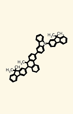 CC1c2ccc(-c3ccc4c(c3)c3ccccc3n4-c3ccc4c(c3)C(C)(C)c3ccccc3-4)cc2C2=C(CCC=C2)C1c1ccc2c(c1)C(C)(C)c1ccccc1-2